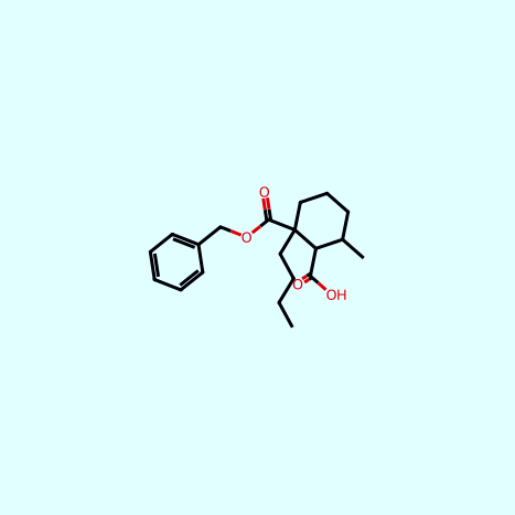 CCCCC1(C(=O)OCc2ccccc2)CCCC(C)C1C(=O)O